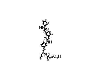 C=CC[C@@H](COc1cccc(NC(=O)Cc2ccc3nc(Nc4ccccc4)oc3c2)c1)COC(C)(C)CC(=O)O